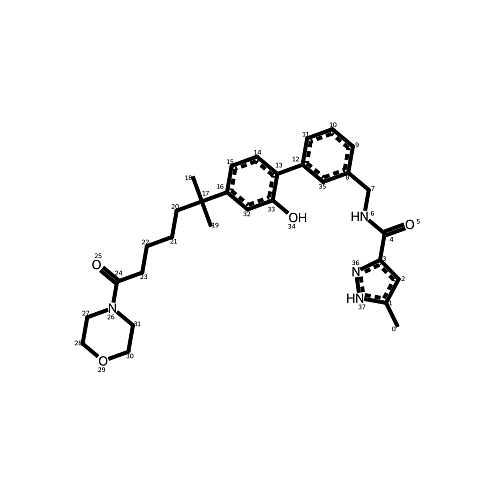 Cc1cc(C(=O)NCc2cccc(-c3ccc(C(C)(C)CCCCC(=O)N4CCOCC4)cc3O)c2)n[nH]1